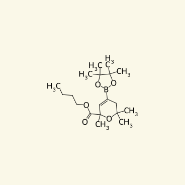 CCCCOC(=O)C1(C)C=C(B2OC(C)(C)C(C)(C)O2)CC(C)(C)O1